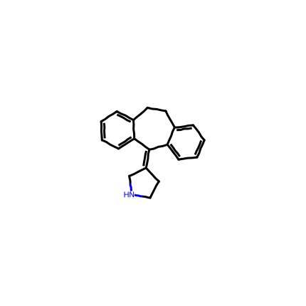 c1ccc2c(c1)CCc1ccccc1C2=C1CCNC1